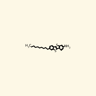 CCCCCCCCCCc1ccc2c(c1)sc1c3ccc(N)cc3sc21